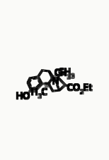 CCOC(=O)C1C[C@]2(C)C3Cc4ccc(O)cc4[C@]2(C)CC1N3C